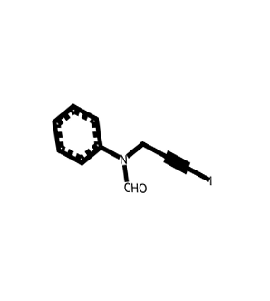 O=CN(CC#CI)c1ccccc1